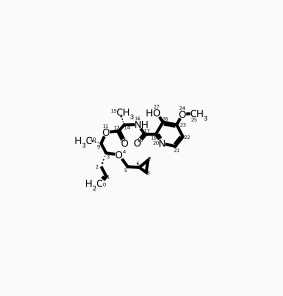 C=CC[C@@H](OCC1CC1)[C@H](C)OC(=O)[C@H](C)NC(=O)c1nccc(OC)c1O